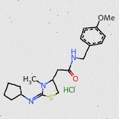 COc1ccc(CNC(=O)CC2CSC(=NC3CCCC3)N2C)cc1.Cl